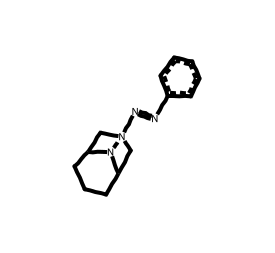 CN1C2CCCC1CN(N=Nc1ccccc1)C2